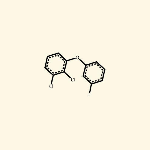 Clc1cccc(Oc2[c]c(I)ccc2)c1Cl